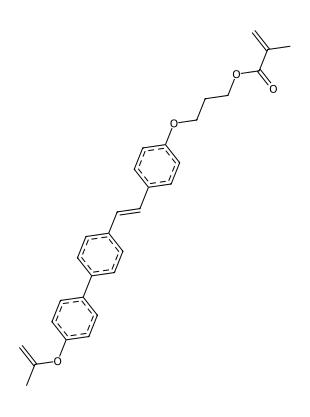 C=C(C)Oc1ccc(-c2ccc(/C=C/c3ccc(OCCCOC(=O)C(=C)C)cc3)cc2)cc1